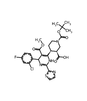 COC(=O)C1=C([C@H]2CCN(C(=O)OC(C)(C)C)C[C@H]2C(=O)O)NC(c2nccs2)=NC1c1ccc(F)cc1Cl